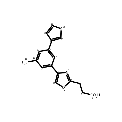 O=C(O)CCc1nc(-c2cc(-c3ccsc3)cc(C(F)(F)F)c2)co1